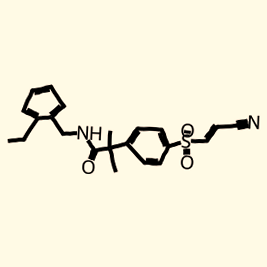 CCc1ccccc1CNC(=O)C(C)(C)c1ccc(S(=O)(=O)/C=C/C#N)cc1